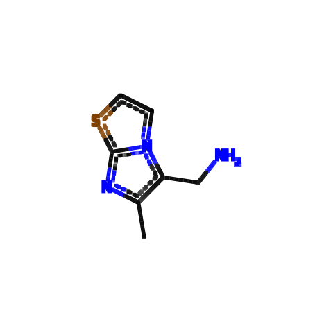 Cc1nc2sccn2c1CN